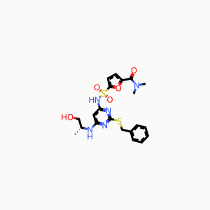 C[C@H](CO)Nc1cc(NS(=O)(=O)c2ccc(C(=O)N(C)C)o2)nc(SCc2ccccc2)n1